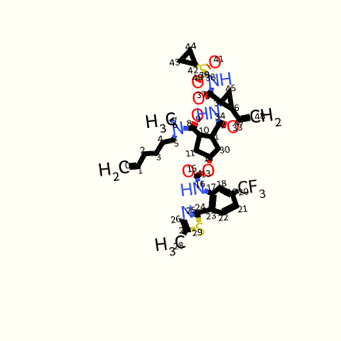 C=CCCCCN(C)C(=O)C1CC(OC(=O)Nc2cc(C(F)(F)F)ccc2-c2ncc(C)s2)CC1C(=O)NC1(C(=O)NS(=O)(=O)C2CC2)CC1C=C